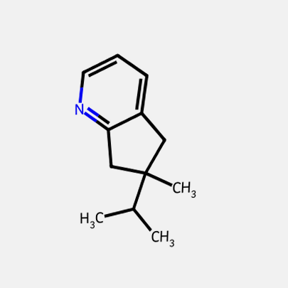 CC(C)C1(C)Cc2cccnc2C1